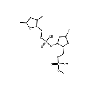 COP(=O)(O)OCC1OC(F)CC1OP(=O)(O)OCC1OC(C)CC1C